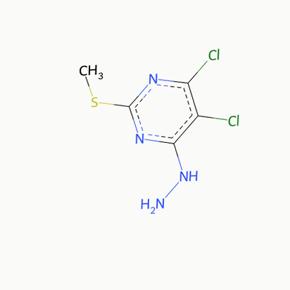 CSc1nc(Cl)c(Cl)c(NN)n1